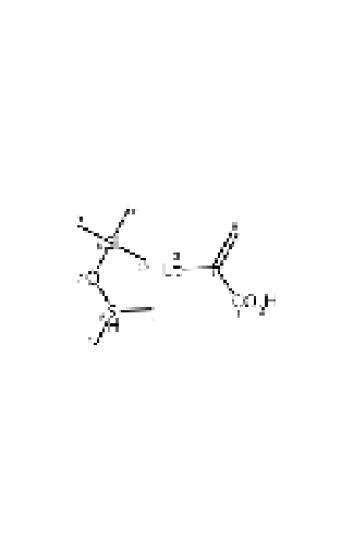 C=C(CC)C(=O)O.C[SiH](C)O[Si](C)(C)C